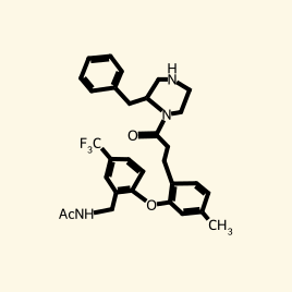 CC(=O)NCc1cc(C(F)(F)F)ccc1Oc1cc(C)ccc1CCC(=O)N1CCNCC1Cc1ccccc1